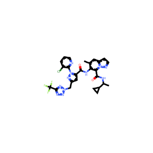 Cc1cc2ccnn2c(C(=O)NC(C)C2CC2)c1NC(=O)c1cc(Cn2nnc(C(F)(F)F)n2)nn1-c1ncccc1Cl